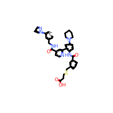 O=C(O)CCSCc1cccc(C(=O)Nc2ccc(N3CCCCC3)cc2-c2cc(C(=O)NCc3cccc(-n4cccn4)c3)ccn2)c1